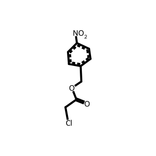 O=C(CCl)OCc1ccc([N+](=O)[O-])cc1